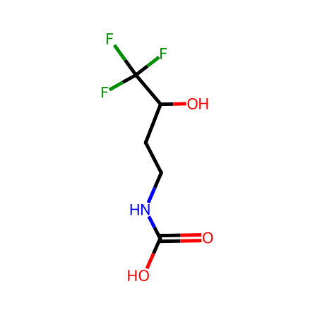 O=C(O)NCCC(O)C(F)(F)F